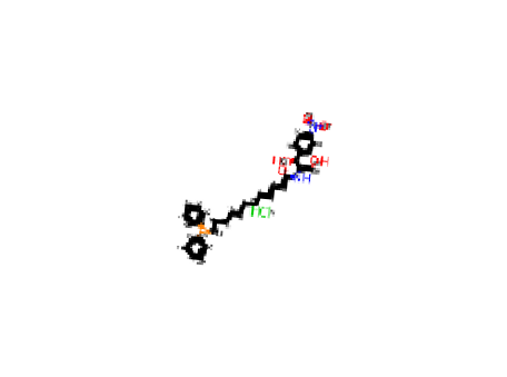 Cl.O=C(CCCCCCCCCCCP(c1ccccc1)c1ccccc1)NC(CO)C(O)c1ccc([N+](=O)[O-])cc1